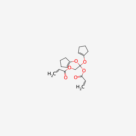 C=CC(=O)OCC(OC(=O)C=C)(OC1=CCCC1)OC1=CCCC1